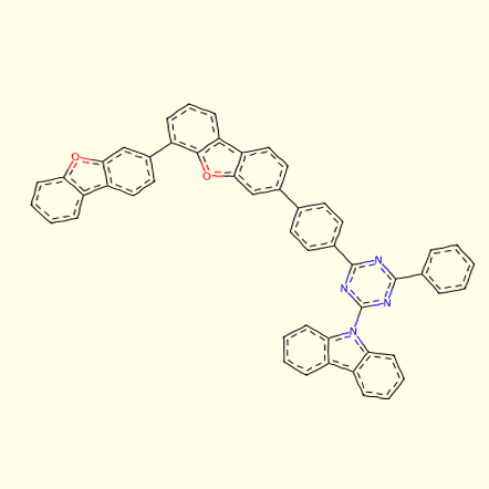 c1ccc(-c2nc(-c3ccc(-c4ccc5c(c4)oc4c(-c6ccc7c(c6)oc6ccccc67)cccc45)cc3)nc(-n3c4ccccc4c4ccccc43)n2)cc1